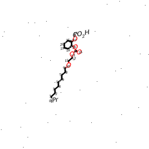 CC(C)CCCCCCCCCOCCOC(=O)OC1CCCCC1OC(=O)O